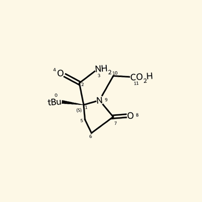 CC(C)(C)[C@]1(C(N)=O)CCC(=O)N1CC(=O)O